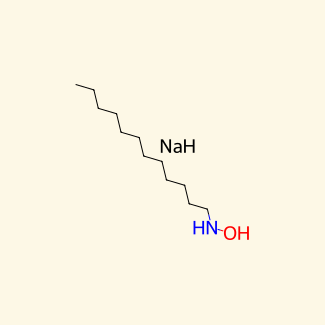 CCCCCCCCCCCCNO.[NaH]